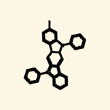 Cc1ccc2c(c1)N(c1ccccc1)C1C=c3c(n(-c4ccccc4)c4ccccc34)=CC21